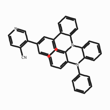 N#Cc1ccncc1-c1cccc(-c2ccccc2N2c3ccccc3N(c3ccccc3)c3ccccc32)c1